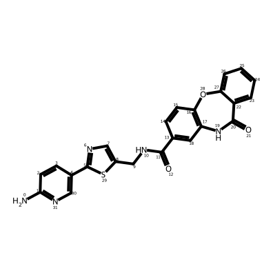 Nc1ccc(-c2ncc(CNC(=O)c3ccc4c(c3)NC(=O)c3ccccc3O4)s2)cn1